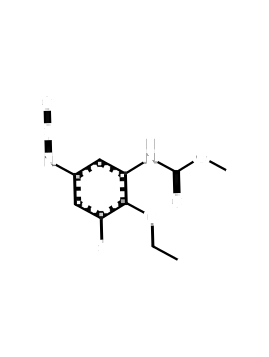 CCOc1c(Cl)cc(N=C=O)cc1NC(=O)OC